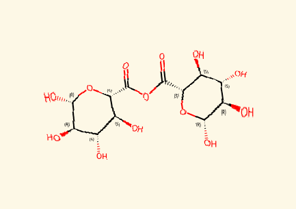 O=C(OC(=O)[C@H]1O[C@@H](O)[C@H](O)[C@@H](O)[C@@H]1O)[C@H]1O[C@@H](O)[C@H](O)[C@@H](O)[C@@H]1O